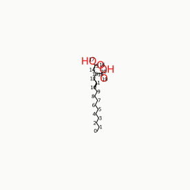 CCCCCCCCCC/C=C/CC(CC(=O)O)C(=O)O